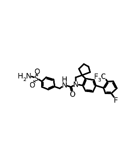 NS(=O)(=O)c1ccc(CNC(=O)N2CC3(CCCC3)c3cc(-c4cc(F)ccc4C(F)(F)F)ccc32)cc1